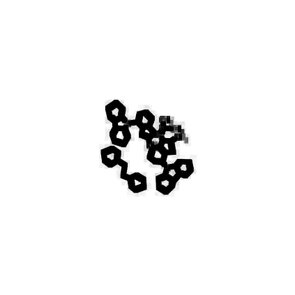 CC1=Cc2c(cccc2-n2c3ccccc3c3ccccc32)[CH]1[Zr]([CH]1C(C)=Cc2c1cccc2-n1c2ccccc2c2ccccc21)=[Si](C)C.c1ccc(CCc2ccccc2)cc1